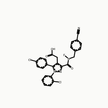 N#Cc1ccc(CN(F)C(=O)c2nn(-c3ccccc3Cl)c(-c3ccc(Cl)cc3)c2CC(=O)O)cc1